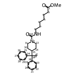 COC(=O)CCCCCCNC(=O)N1CCC(C(F)(c2ccccc2)c2ccccc2)CC1